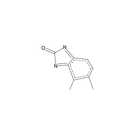 Cc1ccc2c(c1C)=NC(=O)N=2